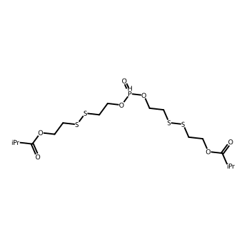 CC(C)C(=O)OCCSSCCO[PH](=O)OCCSSCCOC(=O)C(C)C